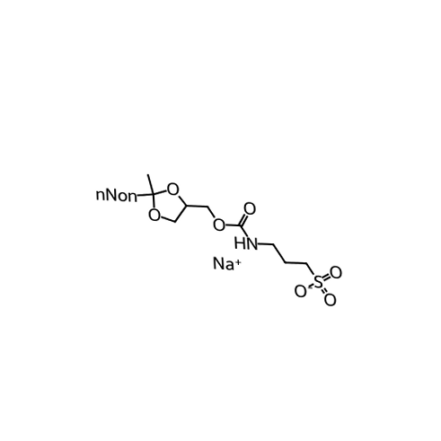 CCCCCCCCCC1(C)OCC(COC(=O)NCCCS(=O)(=O)[O-])O1.[Na+]